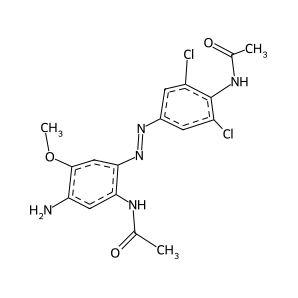 COc1cc(N=Nc2cc(Cl)c(NC(C)=O)c(Cl)c2)c(NC(C)=O)cc1N